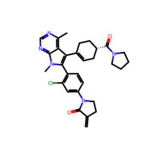 C=C1CCN(c2ccc(-c3c(C4=CC[C@@H](C(=O)N5CCCC5)CC4)c4c(C)ncnc4n3C)c(Cl)c2)C1=O